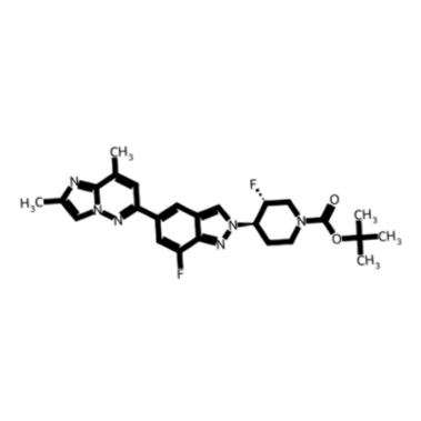 Cc1cn2nc(-c3cc(F)c4nn([C@@H]5CCN(C(=O)OC(C)(C)C)C[C@H]5F)cc4c3)cc(C)c2n1